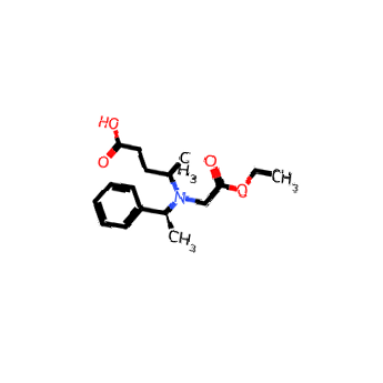 CCOC(=O)CN(C(C)CCC(=O)O)[C@@H](C)c1ccccc1